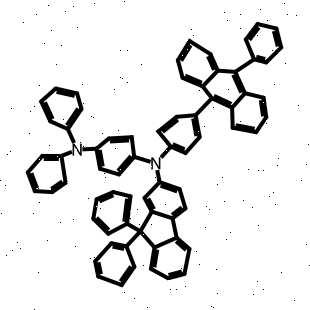 c1ccc(-c2c3ccccc3c(-c3ccc(N(c4ccc(N(c5ccccc5)c5ccccc5)cc4)c4ccc5c(c4)C(c4ccccc4)(c4ccccc4)c4ccccc4-5)cc3)c3ccccc23)cc1